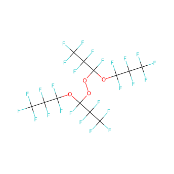 FC(F)(F)C(F)(F)C(F)(F)OC(F)(OOC(F)(OC(F)(F)C(F)(F)C(F)(F)F)C(F)(F)C(F)(F)F)C(F)(F)C(F)(F)F